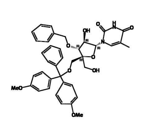 COc1ccc(C(OC[C@]2(CO)O[C@@H](n3cc(C)c(=O)[nH]c3=O)[C@H](O)[C@H]2OCc2ccccc2)(c2ccccc2)c2ccc(OC)cc2)cc1